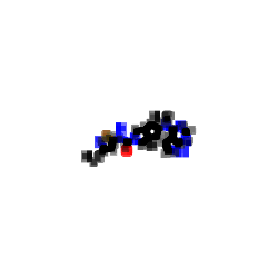 Cc1cc(NC(=O)N2CC3C[C@@H](N(C)c4ncnc5[nH]ccc45)C[C@@H]3C2)sn1